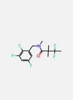 CN(Cc1cc(F)cc(F)c1F)C(=O)C(C)(C)C(C)(F)F